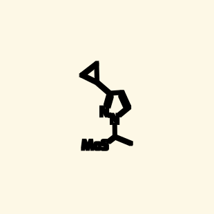 CSC(C)n1ccc(C2CC2)n1